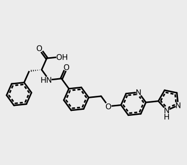 O=C(N[C@H](Cc1ccccc1)C(=O)O)c1cccc(COc2ccc(-c3ccn[nH]3)nc2)c1